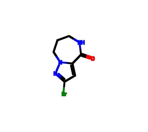 O=C1NCCCn2nc(Br)cc21